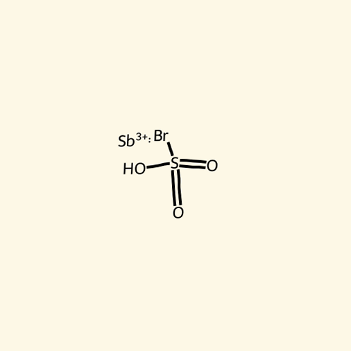 O=S(=O)(O)Br.[Sb+3]